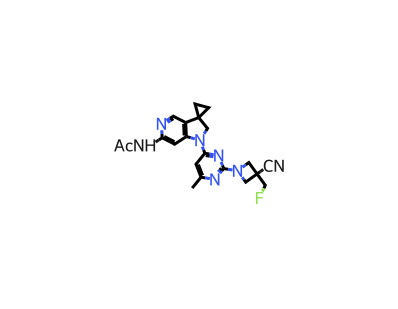 CC(=O)Nc1cc2c(cn1)C1(CC1)CN2c1cc(C)nc(N2CC(C#N)(CF)C2)n1